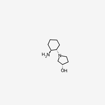 N[C@H]1CCCC[C@@H]1N1CC[C@H](O)C1